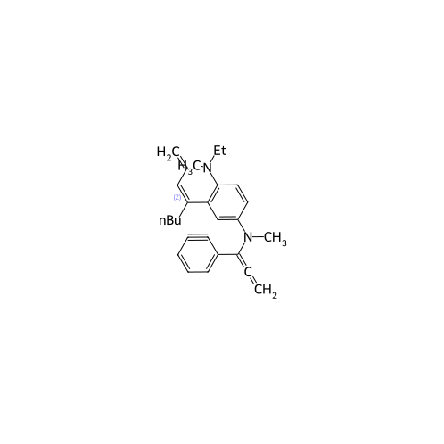 C=C=C(c1c#cccc1)N(C)c1ccc(N(C)CC)c(/C(=C\C=C)CCCC)c1